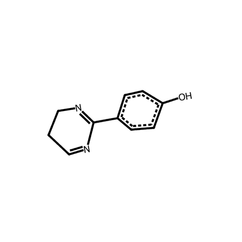 Oc1ccc(C2=NCCC=N2)cc1